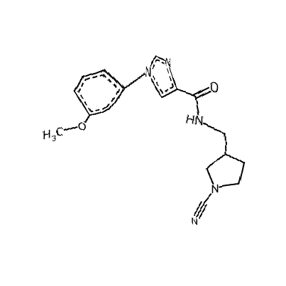 COc1cccc(-n2cnc(C(=O)NCC3CCN(C#N)C3)c2)c1